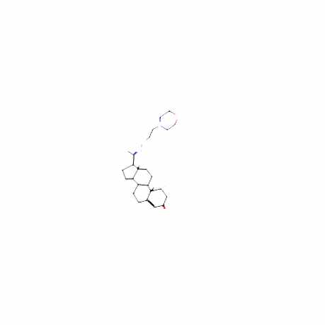 CC(=NOCCN1CCOCC1)C1CCC2C3CCC4=CC(=O)CCC4(C)C3CCC12C